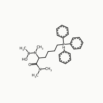 CB(O)N(C)C(CCCC[PH](c1ccccc1)(c1ccccc1)c1ccccc1)C(=O)N(C)C